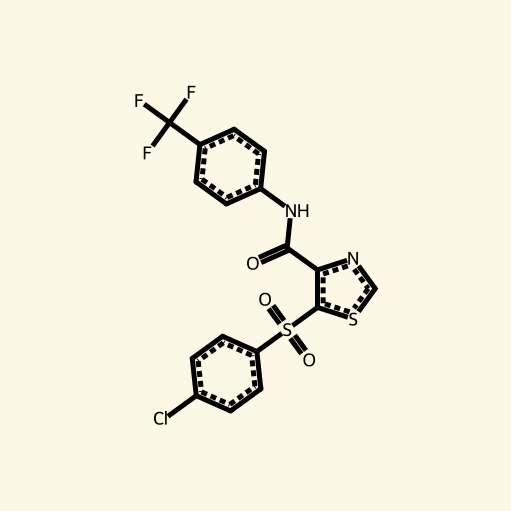 O=C(Nc1ccc(C(F)(F)F)cc1)c1ncsc1S(=O)(=O)c1ccc(Cl)cc1